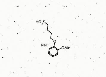 COc1ccccc1OCCCCS(=O)(=O)O.[NaH]